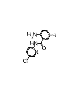 Nc1ccc(I)cc1C(=O)Nc1ccc(Cl)cn1